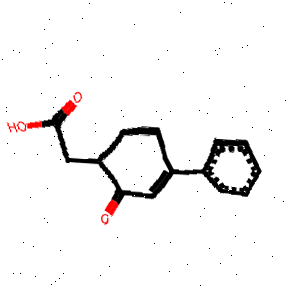 O=C(O)CC1CCC(c2ccccc2)=CC1=O